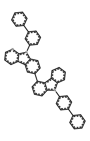 c1ccc(-c2ccc(-n3c4ccccc4c4c(-c5ccc6c(c5)c5cccnc5n6-c5cccc(-c6ccccc6)c5)cccc43)cc2)cc1